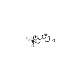 CC1(C)NC(=O)c2ccc(-c3c[nH]c4nc(C5CC5)ccc34)cc21